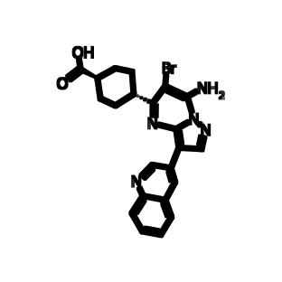 Nc1c(Br)c([C@H]2CC[C@H](C(=O)O)CC2)nc2c(-c3cnc4ccccc4c3)cnn12